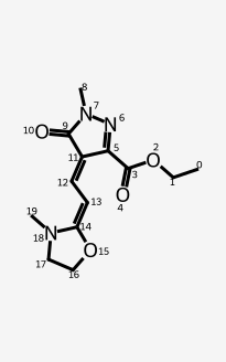 CCOC(=O)C1=NN(C)C(=O)/C1=C/C=C1/OCCN1C